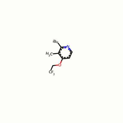 CCC(C)c1nccc(OCC(F)(F)F)c1C